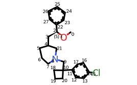 CO[C@@H](CC1CCCN(CC2(c3ccc(Cl)cc3)CCC2)C1)c1ccccc1